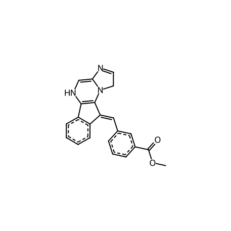 COC(=O)c1cccc(C=C2C3=C(NC=C4N=CCN43)c3ccccc32)c1